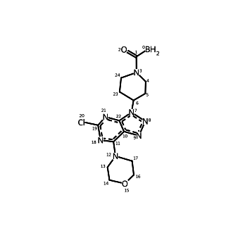 BC(=O)N1CCC(n2nnc3c(N4CCOCC4)nc(Cl)nc32)CC1